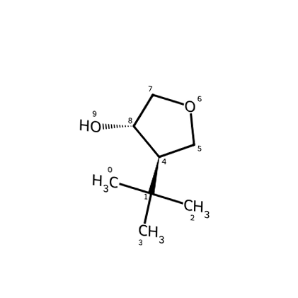 CC(C)(C)[C@@H]1COC[C@H]1O